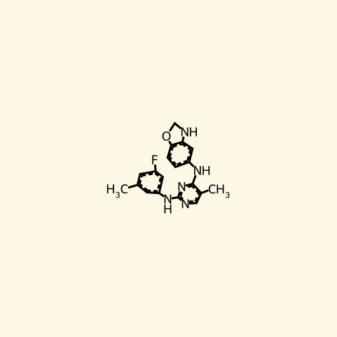 Cc1cc(F)cc(Nc2ncc(C)c(Nc3ccc4c(c3)NCO4)n2)c1